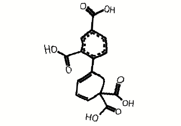 O=C(O)c1ccc(C2=CC=CC(C(=O)O)(C(=O)O)C2)c(C(=O)O)c1